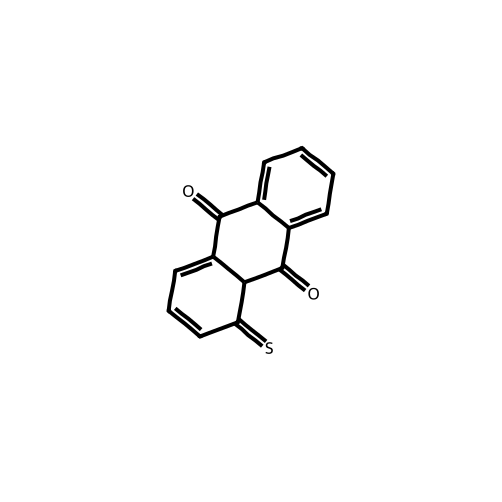 O=C1C2=CC=CC(=S)C2C(=O)c2ccccc21